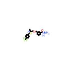 Cc1nc(-c2ccc(C(F)(F)F)cc2)sc1COCc1cccc(C(=O)NN)c1